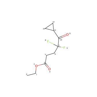 CCOC(=O)CCC(F)(F)C(=O)C1CC1